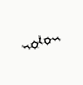 N#CC(C[C@H]1CC[C@H](CCCF)CC1)[C@H]1CC[C@H](CCCF)CC1